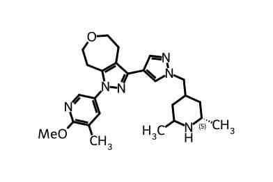 COc1ncc(-n2nc(-c3cnn(CC4CC(C)N[C@@H](C)C4)c3)c3c2CCOCC3)cc1C